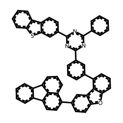 c1ccc(-c2nc(-c3cccc(-c4cccc5oc6ccc(-c7ccc8c9c(cccc79)-c7ccccc7-8)cc6c45)c3)nc(-c3ccc4c(c3)sc3ccccc34)n2)cc1